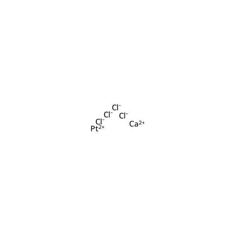 [Ca+2].[Cl-].[Cl-].[Cl-].[Cl-].[Pt+2]